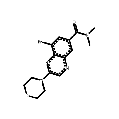 CN(C)C(=O)c1cc(Br)c2nc(N3CCOCC3)cnc2c1